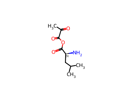 CC(=O)C(=O)OC(=O)[C@@H](N)CC(C)C